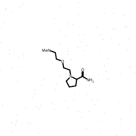 CNCCOCCN1CCCC1C(N)=O